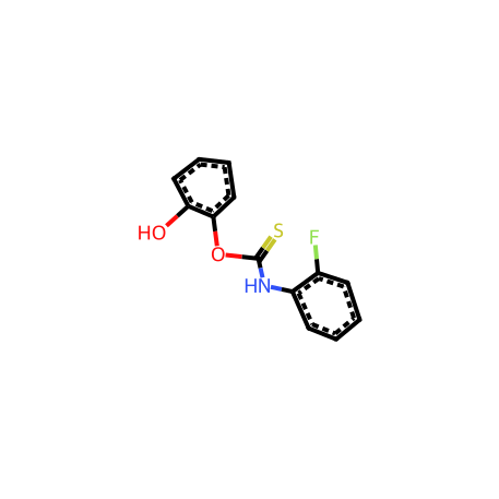 Oc1ccccc1OC(=S)Nc1ccccc1F